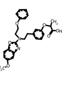 COc1ccc2oc(N(CCOc3ccccc3)CCc3cccc(OC(C)C(=O)O)c3)nc2c1